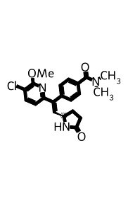 COc1nc(C(=C[C@H]2CCC(=O)N2)c2ccc(C(=O)N(C)C)cc2)ccc1Cl